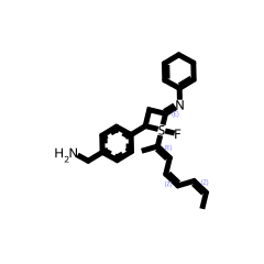 C\C=C/C=C\C=C(/C)S1(F)/C(=N/C2=CCCC=C2)CC1c1ccc(CN)cc1